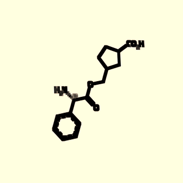 N[C@H](C(=O)OCC1CCC(C(=O)O)C1)c1ccccc1